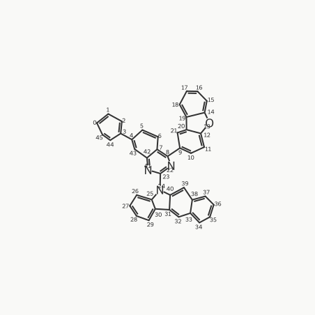 c1ccc(-c2ccc3c(-c4ccc5oc6ccccc6c5c4)nc(-n4c5ccccc5c5cc6ccccc6cc54)nc3c2)cc1